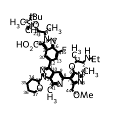 CCNC[C@H](C)Oc1c(-c2cc3c(-c4cc(F)c5nn([C@@H](C)CO[Si](C)(C)C(C)(C)C)c(C(=O)O)c5c4)nn(C4CCCCO4)c3c(C)n2)c(COC)nn1C